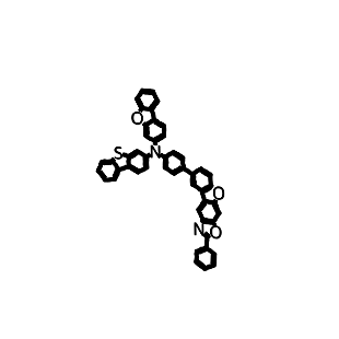 c1ccc(-c2nc3cc4c(cc3o2)oc2ccc(-c3ccc(N(c5ccc6c(c5)oc5ccccc56)c5ccc6c(c5)sc5ccccc56)cc3)cc24)cc1